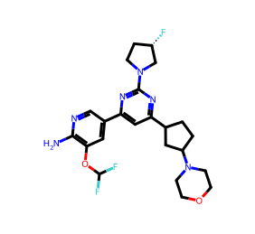 Nc1ncc(-c2cc(C3CCC(N4CCOCC4)C3)nc(N3CC[C@H](F)C3)n2)cc1OC(F)F